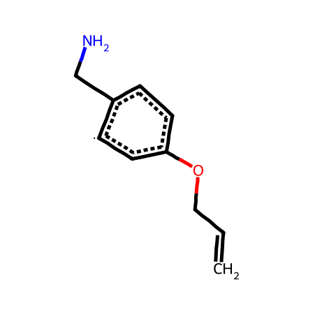 C=CCOc1c[c]c(CN)cc1